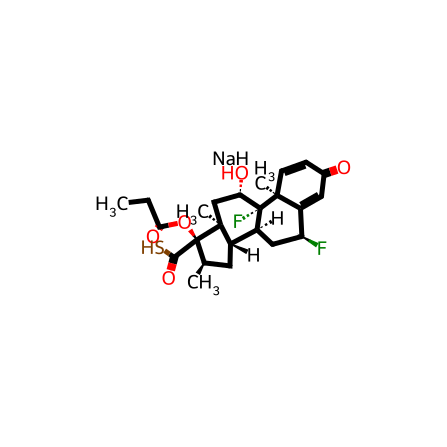 CCC(=O)O[C@]1(C(=O)S)[C@H](C)C[C@H]2[C@@H]3C[C@H](F)C4=CC(=O)C=C[C@]4(C)[C@]3(F)[C@@H](O)C[C@@]21C.[NaH]